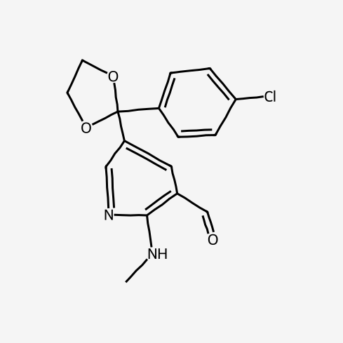 CNc1ncc(C2(c3ccc(Cl)cc3)OCCO2)cc1C=O